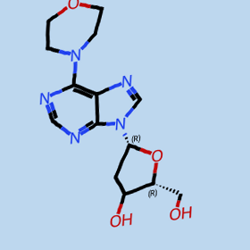 OC[C@H]1O[C@@H](n2cnc3c(N4CCOCC4)ncnc32)CC1O